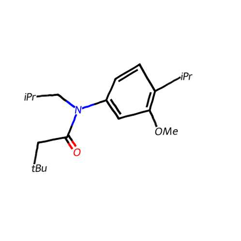 COc1cc(N(CC(C)C)C(=O)CC(C)(C)C)ccc1C(C)C